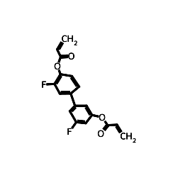 C=CC(=O)Oc1cc(F)cc(-c2ccc(OC(=O)C=C)c(F)c2)c1